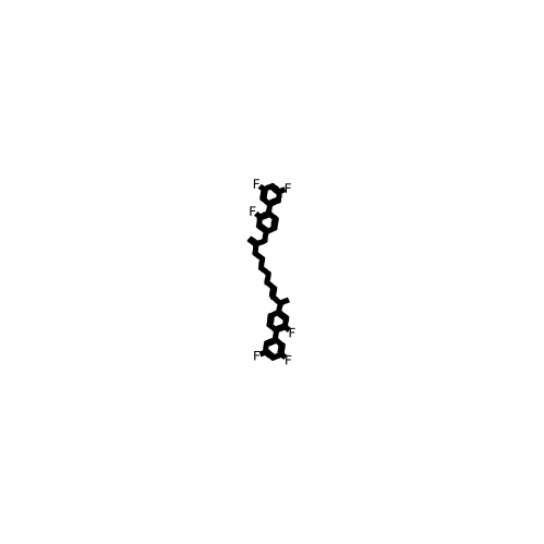 C=C(CCCCC/C=C/C(C)c1ccc(-c2cc(F)cc(F)c2)c(F)c1)Cc1ccc(-c2cc(F)cc(F)c2)c(F)c1